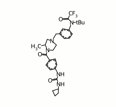 CC1CN(Cc2cccc(N(C(=O)C(F)(F)F)C(C)(C)C)c2)CCN1C(=O)c1ccc(NC(=O)NC2CCC2)cc1